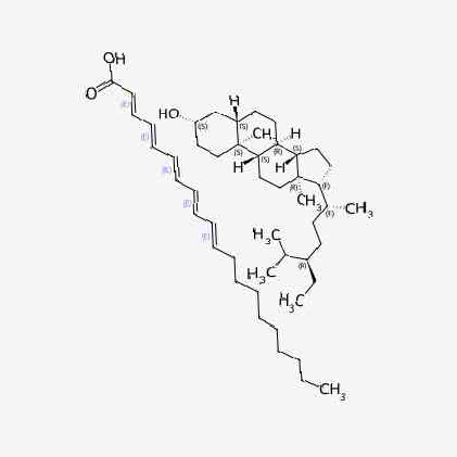 CCCCCCCCC/C=C/C=C/C=C/C=C/C=C/C(=O)O.CC[C@H](CC[C@@H](C)[C@H]1CC[C@H]2[C@@H]3CC[C@H]4C[C@@H](O)CC[C@]4(C)[C@H]3CC[C@]12C)C(C)C